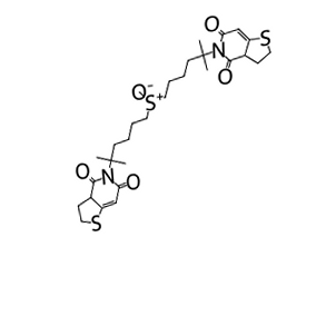 CC(C)(CCCC[S+]([O-])CCCCC(C)(C)N1C(=O)C=C2SCCC2C1=O)N1C(=O)C=C2SCCC2C1=O